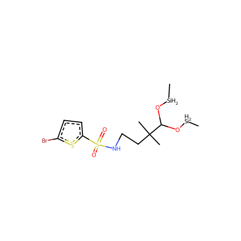 C[SiH2]OC(O[SiH2]C)C(C)(C)CCNS(=O)(=O)c1ccc(Br)s1